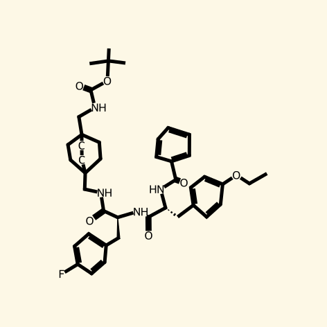 CCOc1ccc(C[C@@H](NC(=O)c2ccccc2)C(=O)N[C@@H](Cc2ccc(F)cc2)C(=O)NCC23CCC(CNC(=O)OC(C)(C)C)(CC2)CC3)cc1